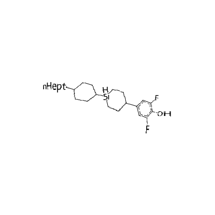 CCCCCCCC1CCC([SiH]2CCC(c3cc(F)c(O)c(F)c3)CC2)CC1